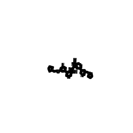 C=c1[nH]nc(-c2nc3c(-c4cc(F)cc(OCCN5CCCC5)c4)cncc3[nH]2)/c1=C/C(=N\C)c1cncc(CN2CCCC2)c1